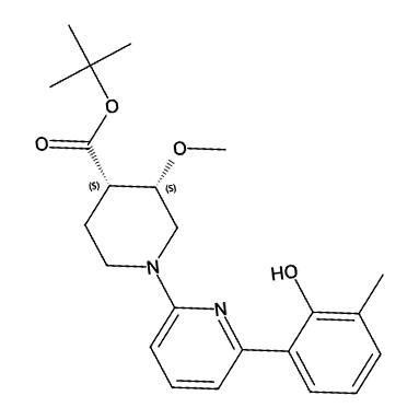 CO[C@@H]1CN(c2cccc(-c3cccc(C)c3O)n2)CC[C@@H]1C(=O)OC(C)(C)C